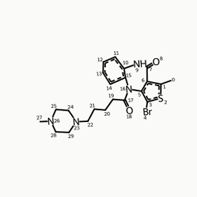 Cc1sc(Br)c2c1C(=O)Nc1ccccc1N2C(=O)CCCCN1CCN(C)CC1